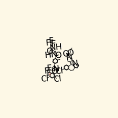 CCOC(=O)N1CCC(=C2c3ccc(Cl)cc3CCc3cccnc32)CC1.Cc1cc(C2=NOC(c3cc(Cl)cc(Cl)c3)(C(F)(F)F)C2)ccc1C(=O)NCC(=O)NCC(F)(F)F